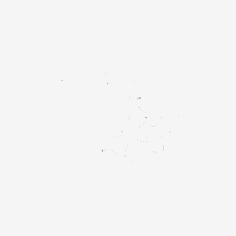 CCc1cc(C)ccc1C1=C(c2ccc(OC3CCC(CCCCCF)CC3)cc2)c2ccc(O)cc2CCC1